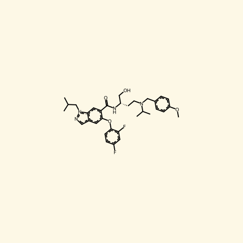 COc1ccc(CN(CC[C@@H](CO)NC(=O)c2cc3c(cnn3CC(C)C)cc2Oc2ccc(F)cc2F)C(C)C)cc1